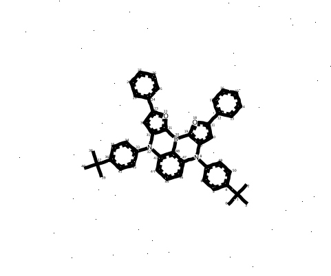 CC(C)(C)c1ccc(N2c3cc(-c4ccccc4)oc3B3c4oc(-c5ccccc5)cc4N(c4ccc(C(C)(C)C)cc4)c4cccc2c43)cc1